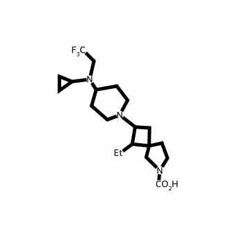 CCC1C(N2CCC(N(CC(F)(F)F)C3CC3)CC2)CC12CCN(C(=O)O)C2